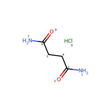 Cl.NC(=O)CCC(N)=O